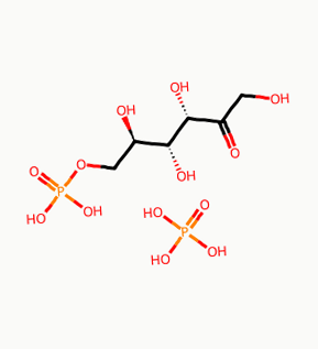 O=C(CO)[C@@H](O)[C@H](O)[C@H](O)COP(=O)(O)O.O=P(O)(O)O